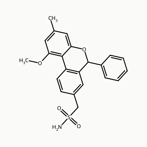 COc1cc(C)cc2c1-c1ccc(CS(N)(=O)=O)cc1C(c1ccccc1)O2